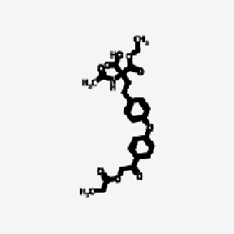 CCOC(=O)C(CCc1ccc(Oc2ccc(C(=O)COC(=O)CC)cc2)cc1)(NC(C)=O)C(=O)O